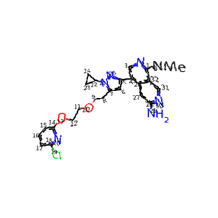 CNc1ncc(-c2cc(CCOCCOc3cccc(Cl)n3)n(C3CC3)n2)c2cc(N)ncc12